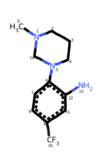 CN1CCCN(c2ccc(C(F)(F)F)cc2N)C1